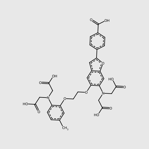 Cc1ccc(N(CC(=O)O)CC(=O)O)c(OCCOc2cc3cc(-c4ccc(C(=O)O)cc4)oc3cc2N(CC(=O)O)CC(=O)O)c1